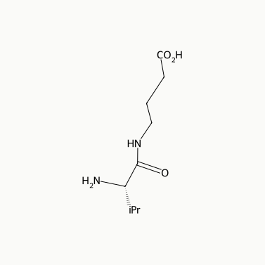 CC(C)[C@H](N)C(=O)NCCCC(=O)O